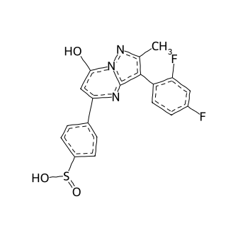 Cc1nn2c(O)cc(-c3ccc(S(=O)O)cc3)nc2c1-c1ccc(F)cc1F